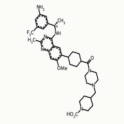 COc1cc2nc(C)nc(N[C@H](C)c3cc(N)cc(C(F)(F)F)c3)c2cc1C1CCC(C(=O)N2CCN(CC3CCN(C(=O)O)CC3)CC2)CC1